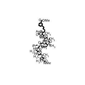 CCCC(=O)N(C)C(C(=O)N[C@@H](CC)C(=O)N(C)CC(=O)N(C)[C@@H](CC(C)C)C(=O)N[C@H](C(=O)N(C)[C@@H](CC(C)C)C(=O)N[C@H](C)C(=O)NC(C)C(=O)N(C)[C@@H](CC(C)C)C(=O)N(C)C(=O)NC)C(C)C)[C@H](OC(C)=O)[C@H](C)C/C=C/c1cccc(C(=O)OC)c1